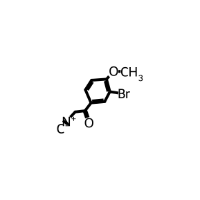 [C-]#[N+]CC(=O)c1ccc(OC)c(Br)c1